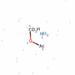 CC(=O)OC(=O)O.N